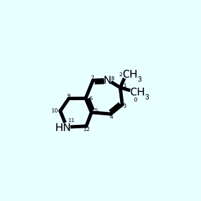 CC1(C)C=CC2=C(C=N1)CCNC2